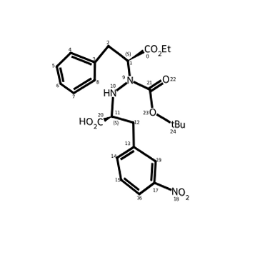 CCOC(=O)[C@H](Cc1ccccc1)N(N[C@@H](Cc1cccc([N+](=O)[O-])c1)C(=O)O)C(=O)OC(C)(C)C